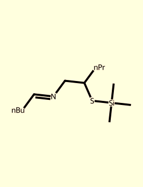 CCCC/C=N/CC(CCC)S[Si](C)(C)C